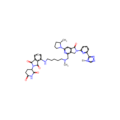 CCn1cnnc1-c1cccc(N2Cc3c(cc(N4CCC[C@H]4C)nc3CN(C)CCCCCNc3cccc4c3C(=O)N(C3CCC(=O)NC3=O)C4=O)C2=O)n1